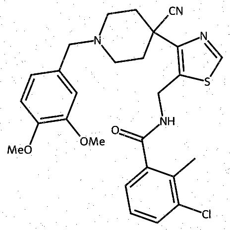 COc1ccc(CN2CCC(C#N)(c3ncsc3CNC(=O)c3cccc(Cl)c3C)CC2)cc1OC